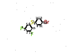 Fc1cc(F)cc(Sc2ccc(Br)cc2)c1